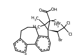 CC1(C)[C@](C)(C(=O)O)[C@@]1(c1cccc2c1CCCc1ccsc1-2)C(Br)C(Cl)(Cl)Br